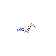 COc1cc2[nH]ncc2cc1Nc1ncnc2sc3c(c12)CC[C@H](C(=O)N1CC[C@@H](N(C)C)C1)C3